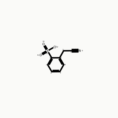 N#CCc1ccccc1S(=O)(=O)Cl